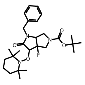 CC(C)(C)OC(=O)N1CC2N(Cc3ccccc3)C(=O)C(ON3C(C)(C)CCCC3(C)C)C2(F)C1